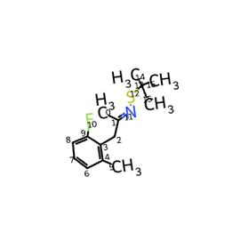 C/C(Cc1c(C)cccc1F)=N\SC(C)(C)C